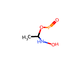 CC(NO)OP=O